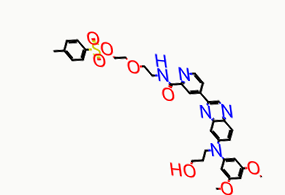 COc1cc(OC)cc(N(CCCO)c2ccc3ncc(-c4ccnc(C(=O)NCCOCCOS(=O)(=O)c5ccc(C)cc5)c4)nc3c2)c1